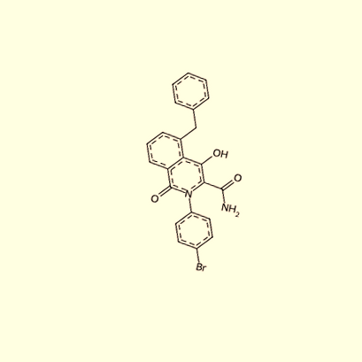 NC(=O)c1c(O)c2c(Cc3ccccc3)cccc2c(=O)n1-c1ccc(Br)cc1